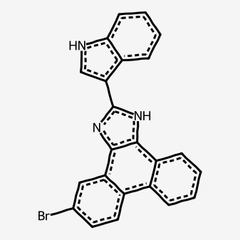 Brc1ccc2c3ccccc3c3[nH]c(-c4c[nH]c5ccccc45)nc3c2c1